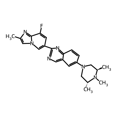 Cc1cn2cc(-c3ncc4cc(N5C[C@@H](C)N(C)[C@H](C)C5)ccc4n3)cc(F)c2n1